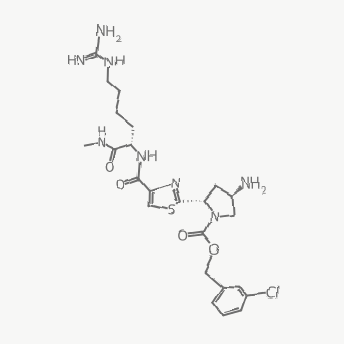 CNC(=O)[C@H](CCCCNC(=N)N)NC(=O)c1csc([C@@H]2C[C@@H](N)CN2C(=O)OCc2cccc(Cl)c2)n1